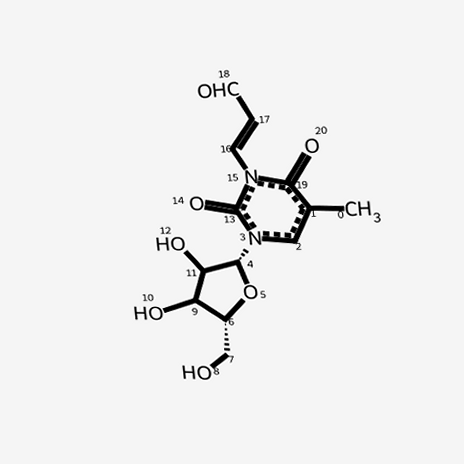 Cc1cn([C@@H]2O[C@H](CO)C(O)C2O)c(=O)n(C=CC=O)c1=O